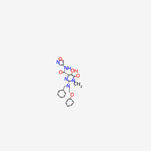 Cn1c(N(CCOc2ccccc2)Cc2ccccc2)nc(C(=O)Nc2cnoc2)c(O)c1=O